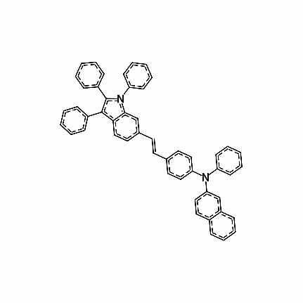 C(=C\c1ccc2c(-c3ccccc3)c(-c3ccccc3)n(-c3ccccc3)c2c1)/c1ccc(N(c2ccccc2)c2ccc3ccccc3c2)cc1